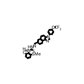 CSc1cccc(C)c1NC(=S)N/N=C/c1ccc2c(ccc3c2ncn3-c2ccc(OC(F)(F)F)cc2)c1